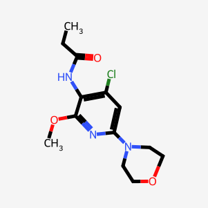 CCC(=O)Nc1c(Cl)cc(N2CCOCC2)nc1OC